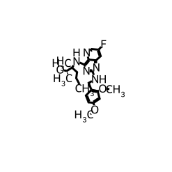 CCCC[C@@](C)(Nc1nc(NCc2ccc(OC)cc2OC)nc2cc(F)cnc12)[C@H](C)O